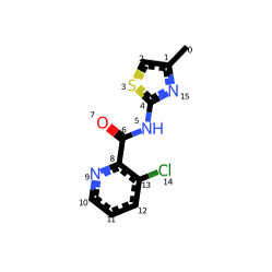 Cc1csc(NC(=O)c2ncccc2Cl)n1